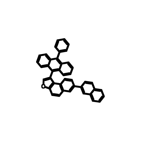 c1ccc(-c2c3ccccc3c(-c3coc4ccc5cc(-c6ccc7ccccc7c6)ccc5c34)c3ccccc23)cc1